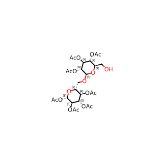 CC(=O)O[C@@H]1O[C@H](CO[C@@H]2O[C@H](CO)[C@@H](OC(C)=O)[C@H](OC(C)=O)[C@H]2OC(C)=O)[C@@H](OC(C)=O)[C@H](OC(C)=O)[C@H]1OC(C)=O